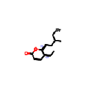 C/C=c1/ccc(=O)o/c1=C/CC(C)CC(C)C